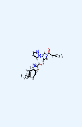 C=CC(=O)N1C[C@@H](n2cccn2)[C@H](OCc2nc3cc(C(F)(F)F)ccc3s2)C1